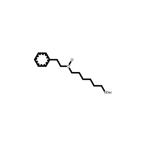 CCCCCCCCCCCCCCCC[O+]([O-])CCc1ccccc1